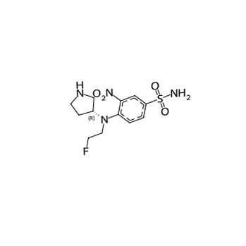 NS(=O)(=O)c1ccc(N(CCF)[C@@H]2CCNC2)c([N+](=O)[O-])c1